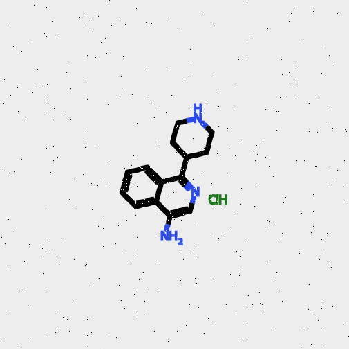 Cl.Nc1cnc(C2CCNCC2)c2ccccc12